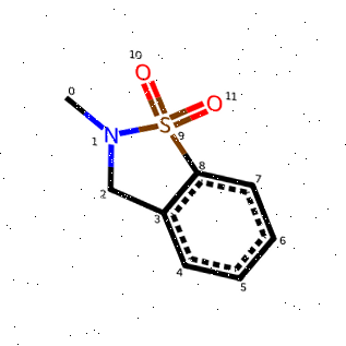 CN1Cc2ccccc2S1(=O)=O